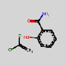 C=C(Cl)Cl.NC(=O)c1ccccc1O